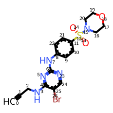 C#CCNc1nc(Nc2ccc(S(=O)(=O)N3CCOCC3)cc2)ncc1Br